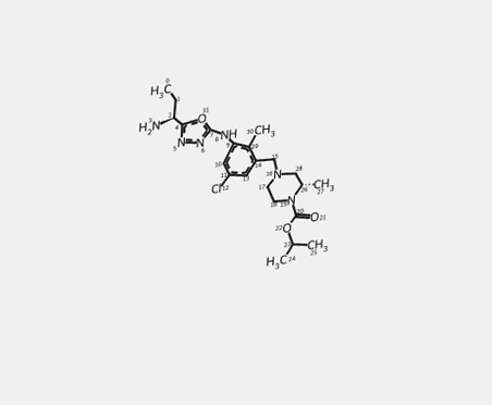 CC[C@H](N)c1nnc(Nc2cc(Cl)cc(CN3CCN(C(=O)OC(C)C)[C@@H](C)C3)c2C)o1